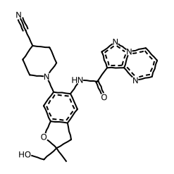 CC1(CO)Cc2cc(NC(=O)c3cnn4cccnc34)c(N3CCC(C#N)CC3)cc2O1